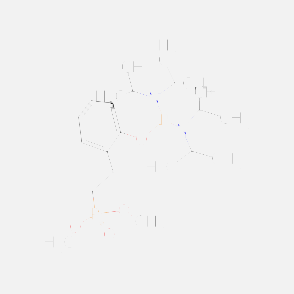 COP(=O)(CCc1ccccc1OP(N(C(C)C)C(C)C)N(C(C)C)C(C)C)OC